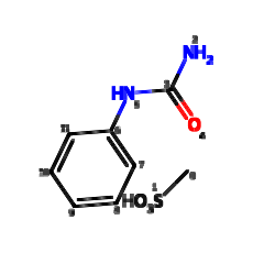 CS(=O)(=O)O.NC(=O)Nc1ccccc1